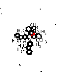 CC1(C)CCC(C)(C)c2cc(N(c3ccc4c(c3)C(C)(C)c3ccccc3-4)c3cc4c(cc3-c3cccc5c3C(C)(C)CCC5(C)C)-c3ccccc3C4(C)C)ccc21